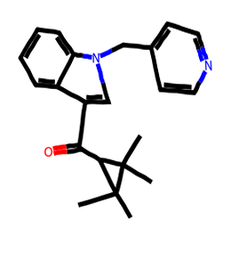 CC1(C)C(C(=O)c2cn(Cc3ccncc3)c3ccccc23)C1(C)C